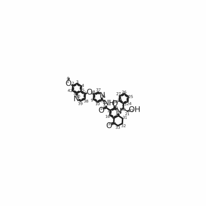 COc1ccc2c(Oc3ccc(NC(=O)c4cc5c(n([C@H](CO)c6ccccc6)c4=O)CCCC5=O)nc3)ccnc2c1